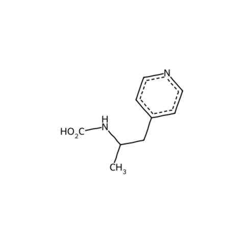 CC(Cc1ccncc1)NC(=O)O